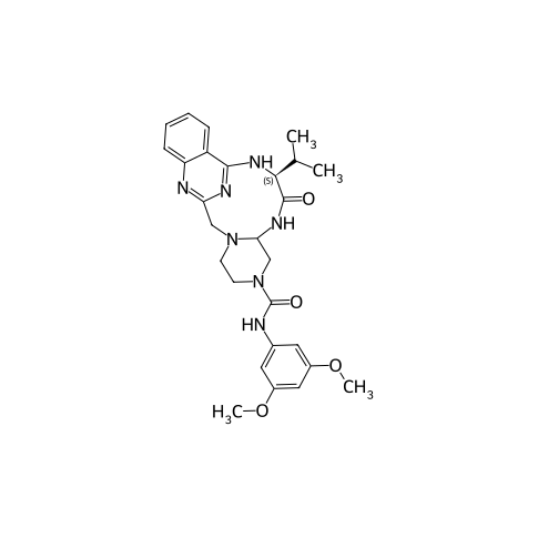 COc1cc(NC(=O)N2CCN3Cc4nc(c5ccccc5n4)N[C@@H](C(C)C)C(=O)NC3C2)cc(OC)c1